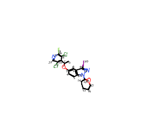 CC(Oc1ccc2c(c1)c(I)nn2C1CCCCO1)c1c(Cl)cnc(F)c1Cl